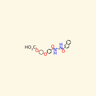 O=C(O)COC1CCC(Oc2ccc(C(=O)NCCNC(=O)c3ccc4ccccc4c3)cc2)CC1